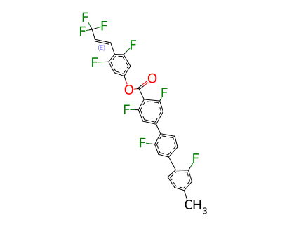 Cc1ccc(-c2ccc(-c3cc(F)c(C(=O)Oc4cc(F)c(/C=C/C(F)(F)F)c(F)c4)c(F)c3)c(F)c2)c(F)c1